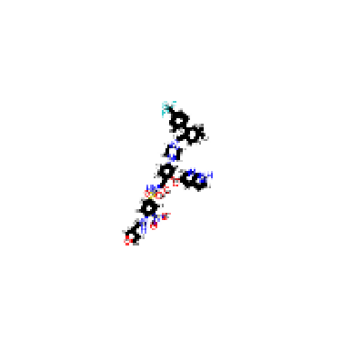 Cc1cc(C(F)(F)F)ccc1C1=C(CN2CCN(c3ccc(C(=O)NS(=O)(=O)c4ccc(NCC5CCOC5)c([N+](=O)[O-])c4)c(Oc4cnc5[nH]ccc5c4)c3)CC2)CCC(C)(C)C1